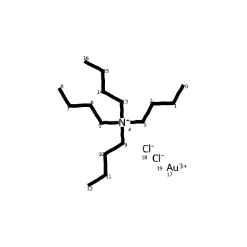 CCCC[N+](CCCC)(CCCC)CCCC.[Au+3].[Cl-].[Cl-]